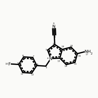 N#Cc1cn(Cc2ccc(F)cc2)c2ccc(N)cc12